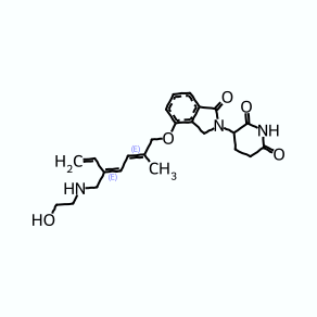 C=C/C(=C\C=C(/C)COc1cccc2c1CN(C1CCC(=O)NC1=O)C2=O)CNCCO